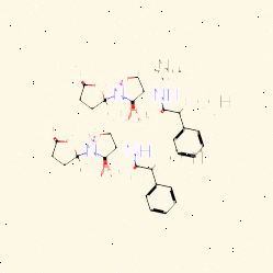 O=C1CCC(C(=O)[O-])(N2OC[C@H](NC(=O)C(C(=O)O)c3ccccc3)C2=O)O1.O=C1CCC(C(=O)[O-])(N2OC[C@H](NC(=O)C(C(=O)O)c3ccccc3)C2=O)O1.[Na+].[Na+]